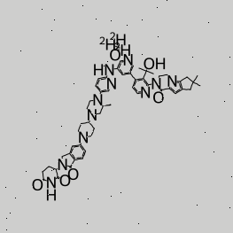 [2H]C([2H])([2H])Oc1ncc(-c2ccnc(N3CCn4c(cc5c4CC(C)(C)C5)C3=O)c2C(C)(C)O)cc1Nc1ccc(N2CCN(C3CCN(c4ccc5c(c4)CN([C@H]4CCC(=O)NC4=O)C5=O)CC3)C[C@@H]2C)cn1